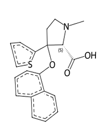 CN1CCC(Oc2cccc3ccccc23)(c2cccs2)[C@H]1C(=O)O